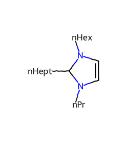 CCCCCCCC1N(CCC)C=CN1CCCCCC